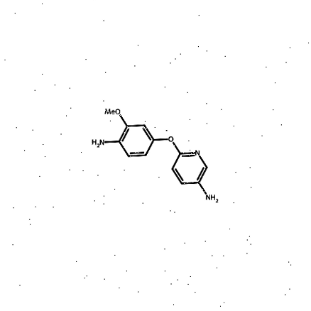 COc1cc(Oc2ccc(N)cn2)ccc1N